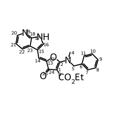 CCOC(=O)C1=C(N(C)Cc2ccccc2)O/C(=C\c2c[nH]c3ncccc23)C1=O